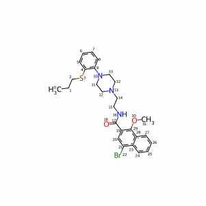 CCCSc1ccccc1N1CCN(CCNC(=O)c2cc(Br)c3ccccc3c2OC)CC1